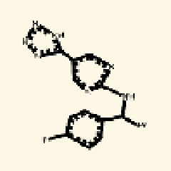 CC(C)C(Nc1ncc(-c2nnn[nH]2)cn1)c1ccc(F)cc1